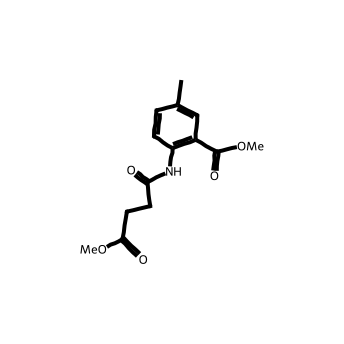 COC(=O)CCC(=O)Nc1ccc(C)cc1C(=O)OC